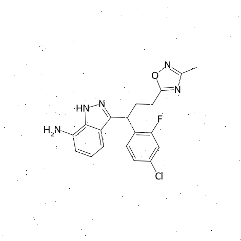 Cc1noc(CCC(c2ccc(Cl)cc2F)c2n[nH]c3c(N)cccc23)n1